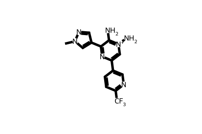 Cn1cc(-c2nc(-c3ccc(C(F)(F)F)nc3)c[n+](N)c2N)cn1